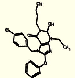 CCN1c2nc(Oc3ccccc3)n(Cc3ccc(Cl)cc3)c2C(=O)N(CCCO)C1O